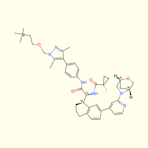 Cc1nn(COCC[Si](C)(C)C)c(C)c1-c1ccc(NC(=O)[C@@H](NC(=O)C2(F)CC2)[C@@H]2CCCc3ccc(-c4ccnc(N5C[C@H]6C[C@@H]5CO6)c4)cc32)cc1